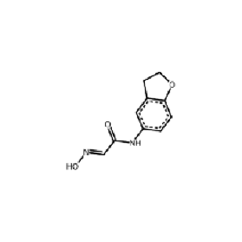 O=C(C=NO)Nc1ccc2c(c1)CCO2